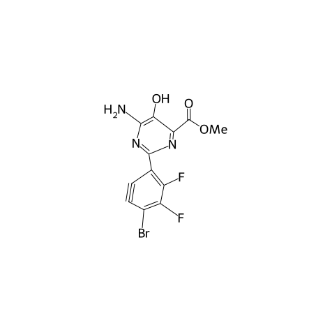 COC(=O)c1nc(-c2c#cc(Br)c(F)c2F)nc(N)c1O